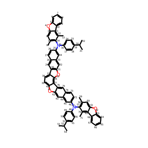 Cc1cc2oc3ccccc3c2c(C)c1N(c1ccc(C(C)C)cc1)c1ccc2cc3c(cc2c1)oc1c3ccc2oc3cc4cc(N(c5ccc(C(C)C)cc5)c5c(C)cc6oc7ccccc7c6c5C)ccc4cc3c21